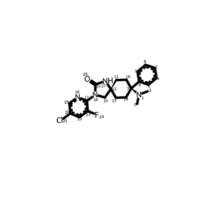 CN(C)[C@]1(c2ccccc2)CC[C@@]2(CC1)CN(c1ncc(Cl)cc1F)C(=O)N2